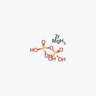 O=P(O)(O)OP(=O)(O)O.[MgH2].[Zr]